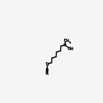 CN(O)CCCCCCOC#N